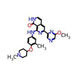 COc1cncc(-c2cc3cc[nH]c(=O)c3c(Nc3ccc(OC4CCN(C)CC4)c(C)c3)n2)n1